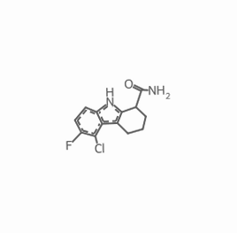 NC(=O)C1CCCc2c1[nH]c1ccc(F)c(Cl)c21